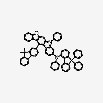 CC1(C)c2ccccc2-c2ccc(-c3c4c(cc5c3c3ccc(N(c6ccccc6)c6cccc7c6-c6ccccc6C7(c6ccccc6)c6ccccc6)cc3n5-c3ccccc3)oc3ccccc34)cc21